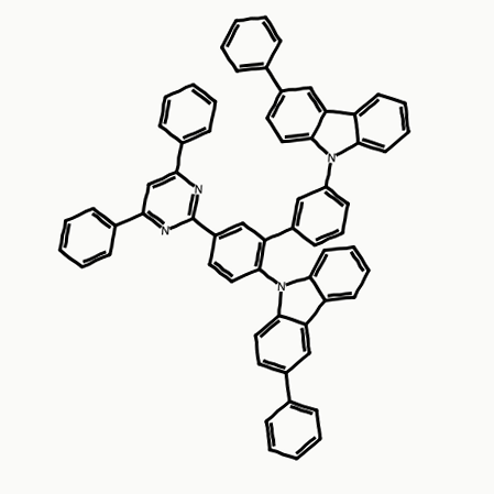 c1ccc(-c2ccc3c(c2)c2ccccc2n3-c2cccc(-c3cc(-c4nc(-c5ccccc5)cc(-c5ccccc5)n4)ccc3-n3c4ccccc4c4cc(-c5ccccc5)ccc43)c2)cc1